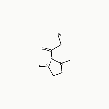 CC(C)CC(=O)N1[C@H](C)CCN1C